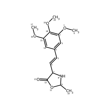 COc1cc(C=CC2NC(C)OC2=O)cc(OC)c1OC